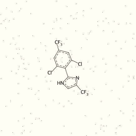 FC(F)(F)c1cc(Cl)c(-c2nc(C(F)(F)F)c[nH]2)c(Cl)c1